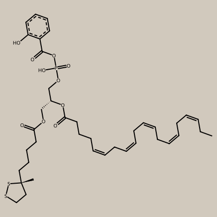 CC/C=C\C/C=C\C/C=C\C/C=C\C/C=C\CCCC(=O)O[C@H](COC(=O)CCCC[C@]1(C)CCSS1)COP(=O)(O)OC(=O)c1ccccc1O